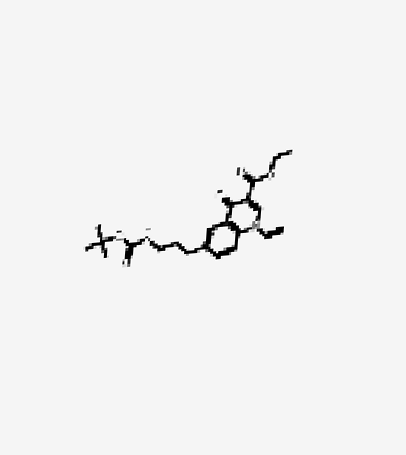 C=Cn1cc(C(=O)OCC)c(=O)c2cc(CCCNC(=O)OC(C)(C)C)ccc21